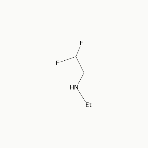 CCNCC(F)F